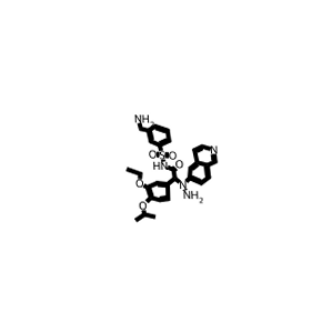 CCOc1cc(C(C(=O)NS(=O)(=O)c2cccc(CN)c2)N(N)c2ccc3cnccc3c2)ccc1OC(C)C